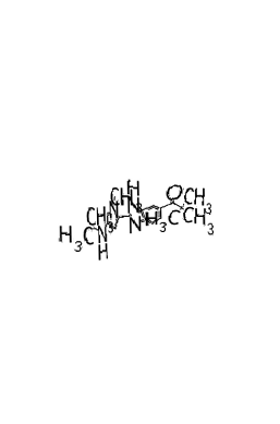 CC(C)Nc1cc(-c2nc3ccc(C(=O)C(C)(C)C)cc3[nH]2)n(C)c1